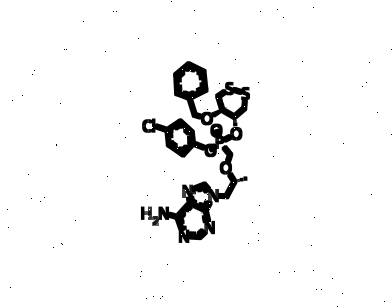 C[C@H](Cn1cnc2c(N)ncnc21)OCP(=O)(Oc1ccc(Cl)cc1)O[C@H]1CSSC[C@@H]1OCc1ccccc1